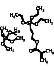 C=C(C)C(=O)OCCC[Si](OCC)(OCC)OCC.CO[Si](OC)(OC)OC